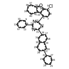 Clc1ccc(-c2nc(-c3ccccc3)nc(-c3ccc4cc(-c5ccccc5)ccc4c3)n2)c2c1oc1ccccc12